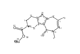 CC1=NN(C)C(=O)c2c3c(nn2C1)CCN(C(=O)OC(C)(C)C)C3